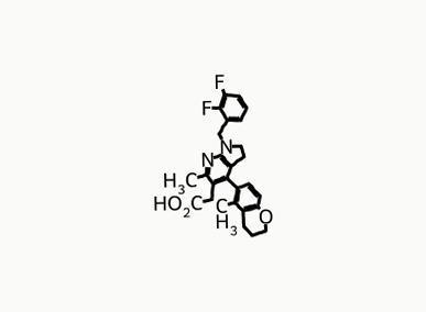 Cc1nc2c(c(-c3ccc4c(c3C)CCCO4)c1CC(=O)O)CCN2Cc1cccc(F)c1F